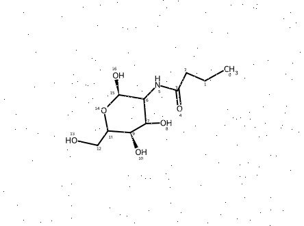 CCCC(=O)NC1C(O)[C@@H](O)C(CO)O[C@H]1O